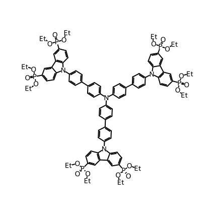 CCOP(=O)(OCC)c1ccc2c(c1)c1cc(P(=O)(OCC)OCC)ccc1n2-c1ccc(-c2ccc(N(c3ccc(-c4ccc(-n5c6ccc(P(=O)(OCC)OCC)cc6c6cc(P(=O)(OCC)OCC)ccc65)cc4)cc3)c3ccc(-c4ccc(-n5c6ccc(P(=O)(OCC)OCC)cc6c6cc(P(=O)(OCC)OCC)ccc65)cc4)cc3)cc2)cc1